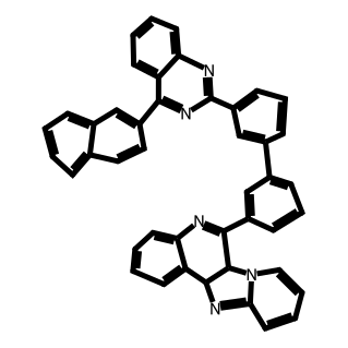 C1=CC2=NC3c4ccccc4N=C(c4cccc(-c5cccc(-c6nc(-c7ccc8ccccc8c7)c7ccccc7n6)c5)c4)C3N2C=C1